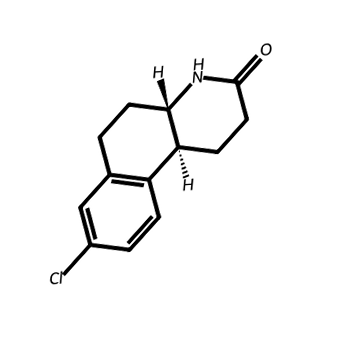 O=C1CC[C@H]2c3ccc(Cl)cc3CC[C@@H]2N1